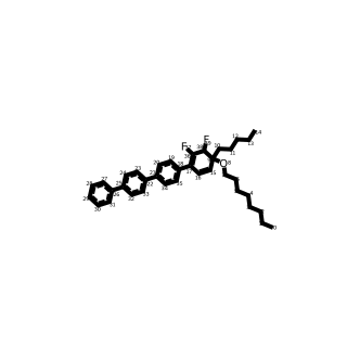 CCCCCCCCOC1(CCCCC)C=CC(c2ccc(-c3ccc(-c4ccccc4)cc3)cc2)=C(F)C1F